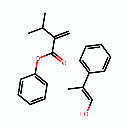 C=C(C(=O)Oc1ccccc1)C(C)C.CC(=CO)c1ccccc1